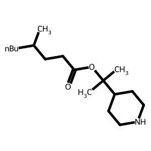 CCCCC(C)CCC(=O)OC(C)(C)C1CCNCC1